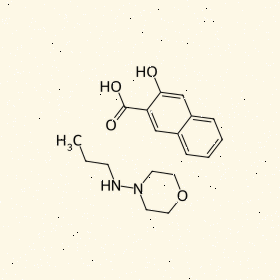 CCCNN1CCOCC1.O=C(O)c1cc2ccccc2cc1O